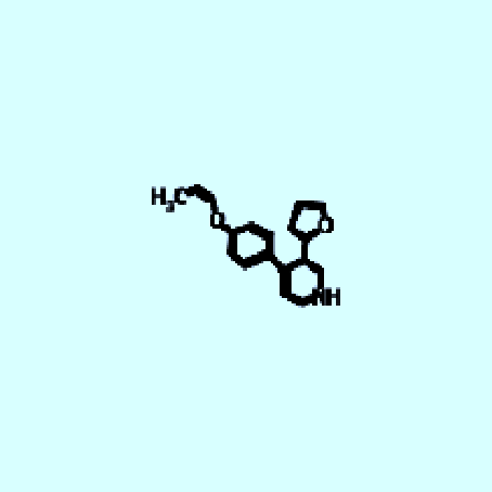 C/C=C\Oc1ccc(C2=CCNCC2C2CCCO2)cc1